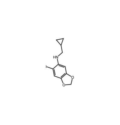 Ic1cc2c(cc1NCC1CC1)OCO2